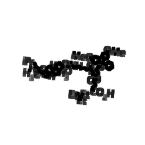 CCN(CC)CC.COc1ccc(C(OCC2CC(OC(=O)CCC(=O)O)CN2C(=O)CCCCCNC(=O)O[C@H]2CC[C@@]3(C)C(=CC[C@H]4[C@@H]5CC[C@H]([C@H](C)CCCC(C)C)[C@@]5(C)CC[C@@H]43)C2)(c2ccccc2)c2ccc(OC)cc2)cc1